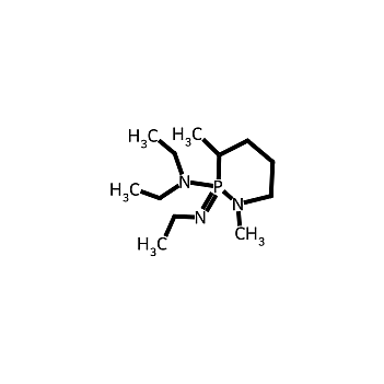 CCN=P1(N(CC)CC)C(C)CCCN1C